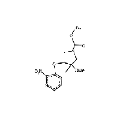 COC1(C)CN(C(=O)OC(C)(C)C)CC1Oc1cccnc1[N+](=O)[O-]